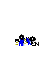 COc1ccccc1-n1c(SCC2N=C(C#N)c3ccccc3N2)nnc1-c1cccs1